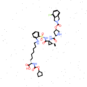 C=C[C@@H]1C[C@]1(NC(=O)[C@@H]1C[C@@H](OC(=O)N2Cc3cccc(F)c3C2)CN1)C(=O)NS(=O)(=O)c1ccccc1NCCCCCCC[C@H](NC(=O)OC1CCCC1)C(=O)O